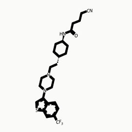 N#CCCCC(=O)N[C@H]1CC[C@H](CCN2CCN(c3csc4cc(C(F)(F)F)ccc34)CC2)CC1